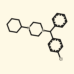 Clc1ccc(C(c2ccccc2)N2CCN(C3CCCCC3)CC2)cc1